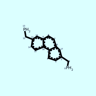 PCc1ccc2c(ccc3cc(CP)ccc32)c1